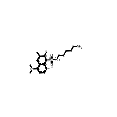 Cc1cc2c(N(C)C)cccc2c(S(=O)(=O)NCCCCCN)c1C